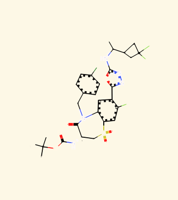 CC(Nc1nnc(-c2cc3c(cc2F)S(=O)(=O)C[C@H](NC(=O)OC(C)(C)C)C(=O)N3Cc2ccc(Cl)cc2)o1)C1CC(F)(F)C1